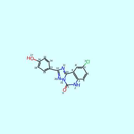 O=c1[nH]c2ccc(Cl)cc2c2nc(-c3ccc(O)cc3)nn12